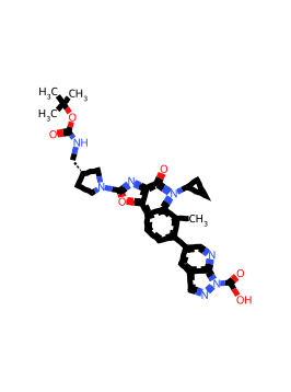 Cc1c(-c2cnc3c(cnn3C(=O)O)c2)ccc2c3oc(N4CC[C@H](CNC(=O)OC(C)(C)C)C4)nc3c(=O)n(C3CC3)c12